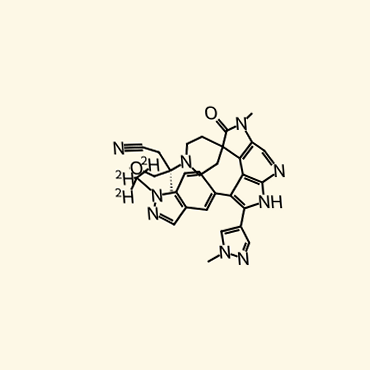 [2H]C([2H])([2H])n1ncc2cc(-c3c(-c4cnn(C)c4)[nH]c4ncc5c(c34)C3(CCN([C@](C)(CC#N)COC)CC3)C(=O)N5C)ccc21